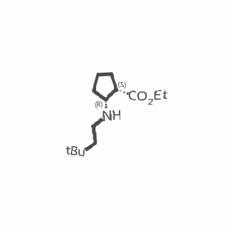 CCOC(=O)[C@H]1CCC[C@H]1NCCC(C)(C)C